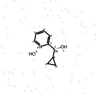 Cl.O[C@@H](c1ccccn1)C1CC1